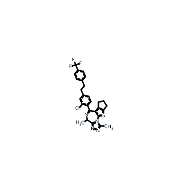 Cc1nnc2n1-c1sc3c(c1C(c1ccc(CCc4ccc(C(F)(F)F)cc4)cc1Cl)=NC2C)CCC3